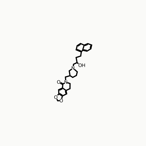 O=C1c2cc3c(cc2CCN1CC1CCCN(CC(O)CCc2cccc4ccccc24)C1)OCO3